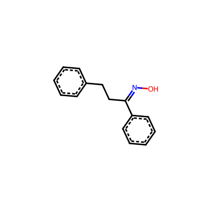 ON=C(CCc1ccccc1)c1ccccc1